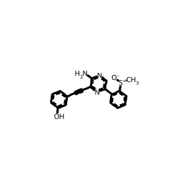 C[S+]([O-])c1ccccc1-c1cnc(N)c(C#Cc2cccc(O)c2)n1